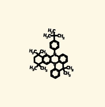 CC(C)(C)c1ccc(N2c3cc4c(cc3B3c5ccccc5C(C)(C)c5cccc2c53)C(C)(C)CCC4(C)C)cc1